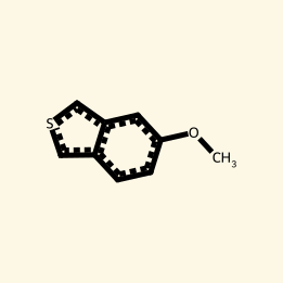 COc1ccc2cscc2c1